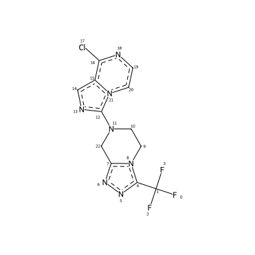 FC(F)(F)c1nnc2n1CCN(c1ncc3c(Cl)nccn13)C2